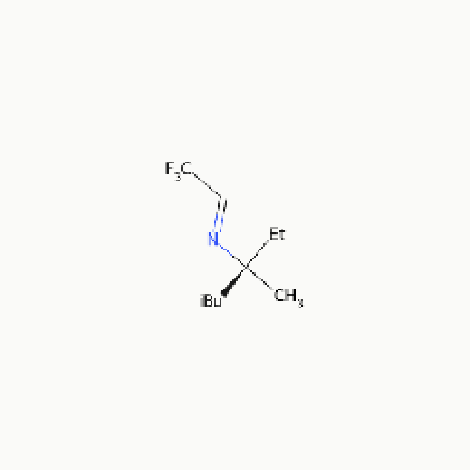 CCC(C)[C@](C)(CC)/N=C/C(F)(F)F